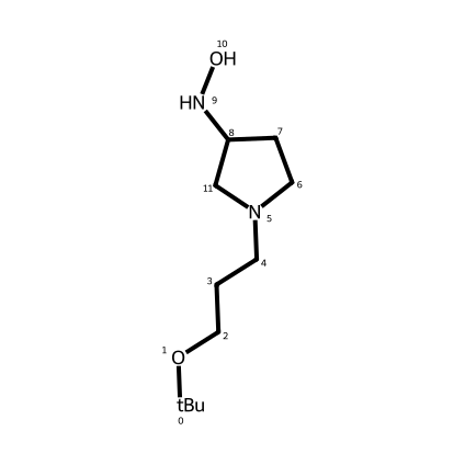 CC(C)(C)OCCCN1CCC(NO)C1